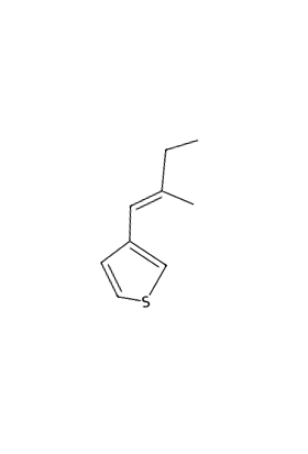 CC/C(C)=C/c1ccsc1